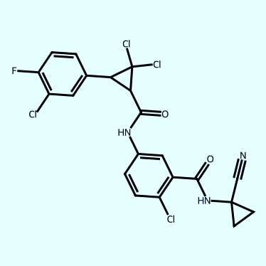 N#CC1(NC(=O)c2cc(NC(=O)C3C(c4ccc(F)c(Cl)c4)C3(Cl)Cl)ccc2Cl)CC1